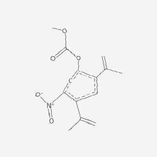 C=C(C)c1cc(C(=C)C)c([N+](=O)[O-])cc1OC(=O)OC